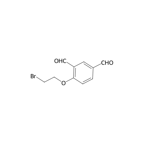 O=Cc1ccc(OCCBr)c(C=O)c1